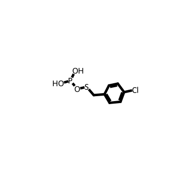 OP(O)OSCc1ccc(Cl)cc1